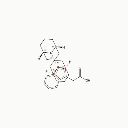 O=C(O)Cc1cn([C@H]2C[C@H]3CCC[C@@H](C2)N3[C@H]2C[C@@H]3CCC[C@@H](C3)C2)c2ccccc12